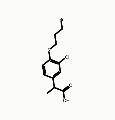 CC(C(=O)O)c1ccc(SCCCBr)c(Cl)c1